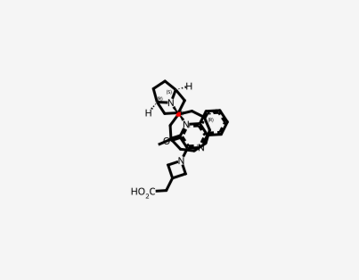 CC1CCCC[C@@H](C)C[C@H](N2[C@@H]3CC[C@H]2C[C@@H](n2c(=O)c(N4CC(CC(=O)O)C4)nc4ccccc42)C3)C1